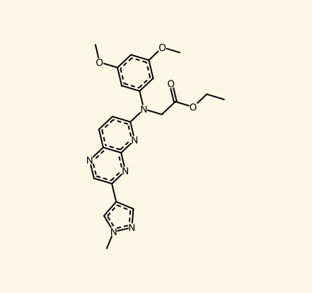 CCOC(=O)CN(c1cc(OC)cc(OC)c1)c1ccc2ncc(-c3cnn(C)c3)nc2n1